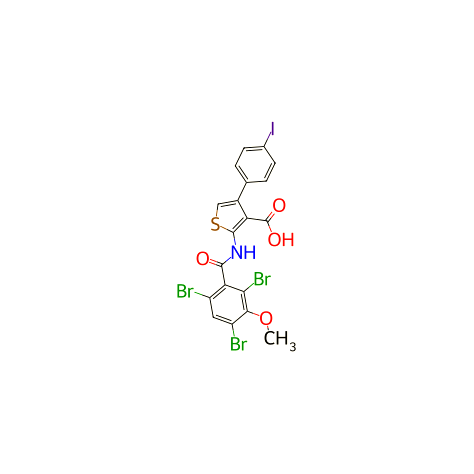 COc1c(Br)cc(Br)c(C(=O)Nc2scc(-c3ccc(I)cc3)c2C(=O)O)c1Br